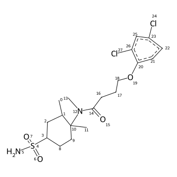 CC1CC(S(N)(=O)=O)CCC1(C)N(C)C(=O)CCCOc1ccc(Cl)cc1Cl